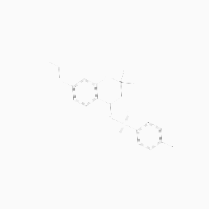 CCc1ccc(S(=O)(=O)NC2CC(C)(C)Oc3cc(OCC(=O)O)ccc32)cc1